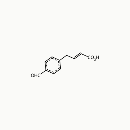 O=Cc1ccc(C/C=C/C(=O)O)cc1